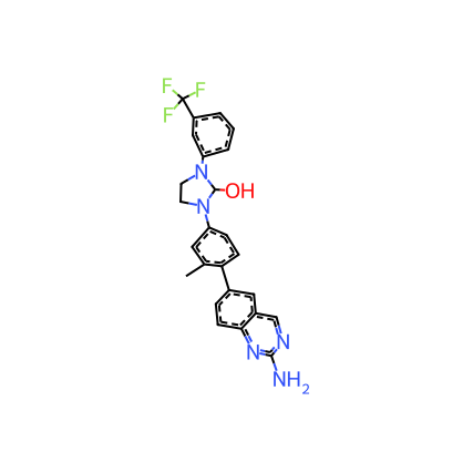 Cc1cc(N2CCN(c3cccc(C(F)(F)F)c3)C2O)ccc1-c1ccc2nc(N)ncc2c1